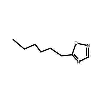 CCCCCCc1n[c]no1